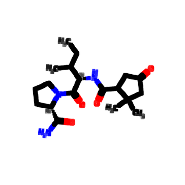 CCC(C)[C@H](NC(=O)C1CC(=O)CC1(C)C)C(=O)N1CCC[C@H]1C(N)=O